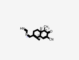 C[C@H]1C(=O)C(C#N)=C[C@@]23CC2=C(/C=N\C=N)CC[C@H]13